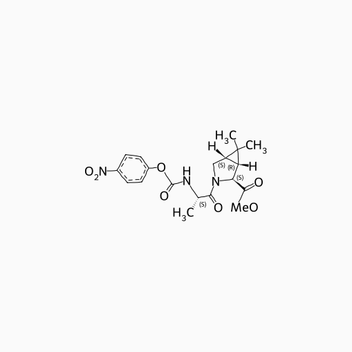 COC(=O)[C@@H]1[C@@H]2[C@H](CN1C(=O)[C@H](C)NC(=O)Oc1ccc([N+](=O)[O-])cc1)C2(C)C